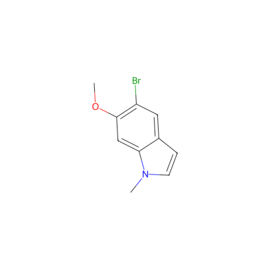 COc1cc2c(ccn2C)cc1Br